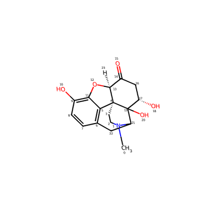 CN1CC[C@]23c4c5ccc(O)c4O[C@H]2C(=O)C[C@H](O)C3(O)C1C5